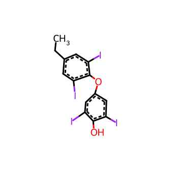 CCc1cc(I)c(Oc2cc(I)c(O)c(I)c2)c(I)c1